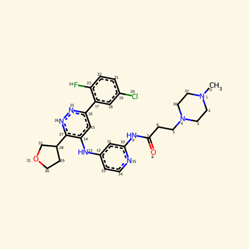 CN1CCN(CCC(=O)Nc2cc(Nc3cc(-c4cc(Cl)ccc4F)nnc3C3CCOC3)ccn2)CC1